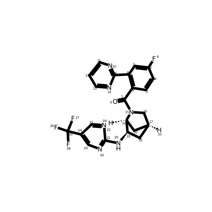 O=C(c1ccc(F)cc1-c1ncccn1)N1C[C@H]2C[C@@H](Nc3ncc(C(F)(F)F)cn3)[C@@H]1C2